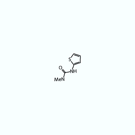 CNC(=O)Nc1cccs1